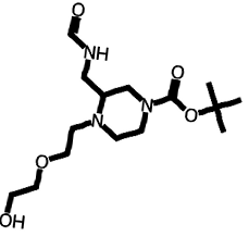 CC(C)(C)OC(=O)N1CCN(CCOCCO)C(CNC=O)C1